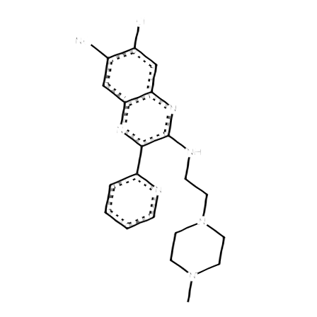 CN1CCN(CCNc2nc3cc(Cl)c(C#N)cc3nc2-c2ccccn2)CC1